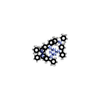 c1ccc(N(c2ccccc2)c2ccc3c4ccccc4n(-c4nc(-n5c6ccccc6c6ccc(N(c7ccccc7)c7ccccc7)cc65)nc(-n5c6ccccc6c6ccc(N(c7ccccc7)c7ccccc7)cc65)n4)c3c2)cc1